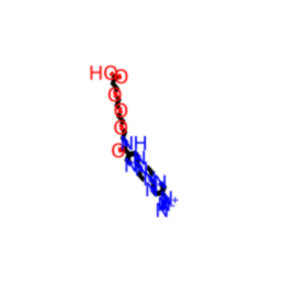 [N-]=[N+]=Nc1cnc(N2CCN(c3ncc(C(=O)NCCOCCOCCOCCC(=O)O)cn3)CC2)nc1